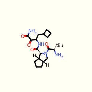 CC(C)(C)[C@H](N)C(=O)N1C[C@@H]2CCC[C@@H]2[C@H]1C(=O)NC(CC1CCC1)C(=O)C(N)=O